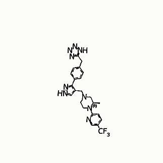 C[C@@H]1CN(Cc2c[nH]nc2-c2ccc(Cc3nnn[nH]3)cc2)CCN1c1ccc(C(F)(F)F)cn1